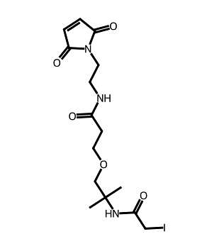 CC(C)(COCCC(=O)NCCN1C(=O)C=CC1=O)NC(=O)CI